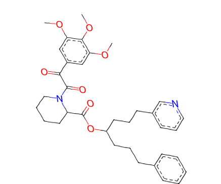 COc1cc(C(=O)C(=O)N2CCCCC2C(=O)OC(CCCc2ccccc2)CCCc2cccnc2)cc(OC)c1OC